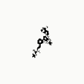 CC(C)(C)OC(=O)NCCc1cccc([C@H]2C[C@@H](n3ccc4c(Cl)ncnc43)[C@@H]3OC(C)(C)O[C@@H]32)c1